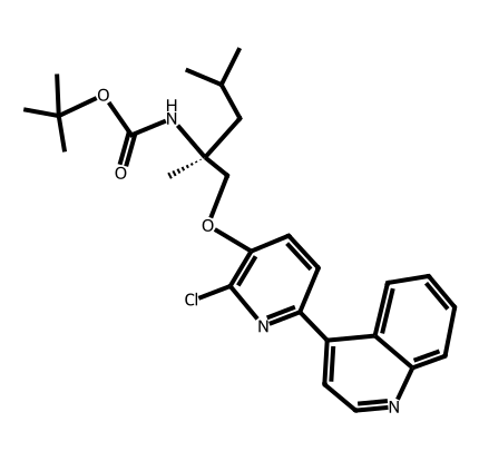 CC(C)C[C@@](C)(COc1ccc(-c2ccnc3ccccc23)nc1Cl)NC(=O)OC(C)(C)C